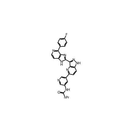 CCCC(=O)Nc1cncc(-c2ccc3[nH]nc(-c4nc5c(-c6ccc(F)cc6)nccc5[nH]4)c3n2)c1